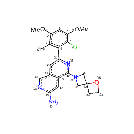 CCc1c(OC)cc(OC)c(Cl)c1-c1cc2cnc(N)cc2c(N2CC3(CCO3)C2)n1